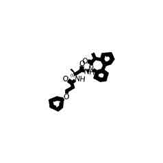 CC1C(=O)N(NC(=O)[C@H](C)NC(=O)CCOc2ccccc2)c2ccccc2-c2ccccc21